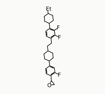 CCC1CCC(c2ccc(CCC3CCC(c4ccc(C5CO5)c(F)c4)CC3)c(F)c2F)CC1